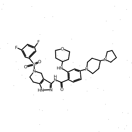 O=C(Nc1n[nH]c2c1CN(S(=O)(=O)c1cc(F)cc(F)c1)CC2)c1ccc(N2CCC(N3CCCC3)CC2)cc1NC1CCOCC1